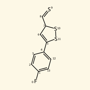 Fc1ccc(C2=CC(C=S)SS2)cc1